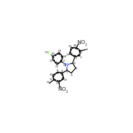 Cc1cc(C2CCC(c3ccc(C)c([N+](=O)[O-])c3)N2c2ccc(F)cc2)ccc1[N+](=O)[O-]